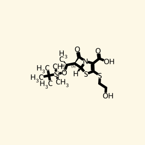 C[C@@H](O[Si](C)(C)C(C)(C)C)[C@H]1C(=O)N2C(C(=O)O)=C(SCCO)S[C@H]12